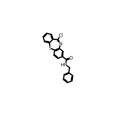 O=C(NCc1ccccc1)c1ccc2c(c1)N=C(Cl)c1ccccc1S2